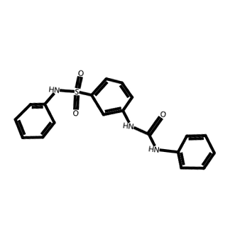 O=C(Nc1ccccc1)Nc1cccc(S(=O)(=O)Nc2ccccc2)c1